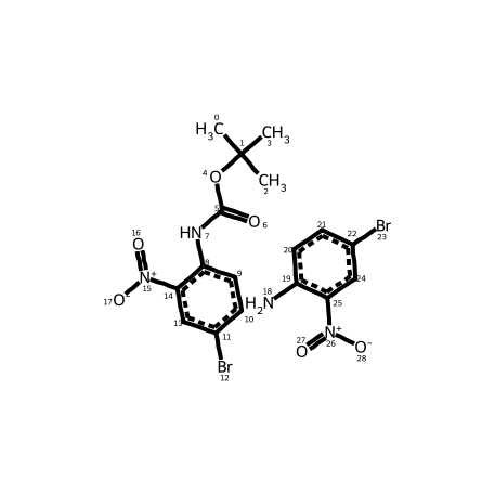 CC(C)(C)OC(=O)Nc1ccc(Br)cc1[N+](=O)[O-].Nc1ccc(Br)cc1[N+](=O)[O-]